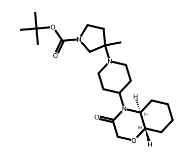 CC(C)(C)OC(=O)N1CCC(C)(N2CCC(N3C(=O)CO[C@H]4CCCC[C@@H]43)CC2)C1